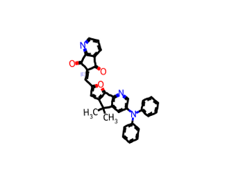 CC1(C)c2cc(N(c3ccccc3)c3ccccc3)cnc2-c2oc(/C=C3\C(=O)c4cccnc4C3=O)cc21